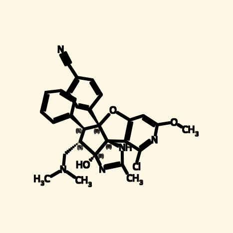 COc1cc2c(c(Cl)n1)[C@]13NC(C)=N[C@@]1(O)[C@H](CN(C)C)[C@@H](c1ccccc1)[C@]3(c1ccc(C#N)cc1)O2